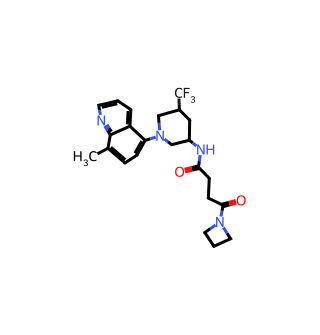 Cc1ccc(N2CC(NC(=O)CCC(=O)N3CCC3)CC(C(F)(F)F)C2)c2cccnc12